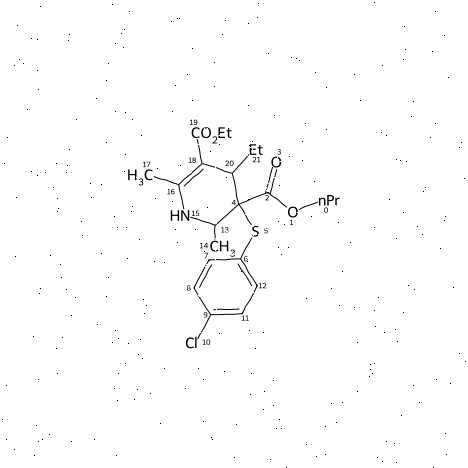 CCCOC(=O)C1(Sc2ccc(Cl)cc2)C(C)NC(C)=C(C(=O)OCC)C1CC